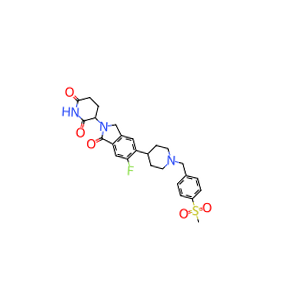 CS(=O)(=O)c1ccc(CN2CCC(c3cc4c(cc3F)C(=O)N(C3CCC(=O)NC3=O)C4)CC2)cc1